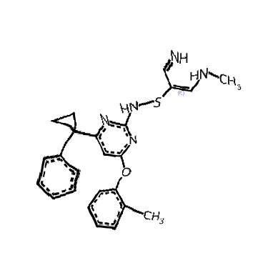 CN/C=C(\C=N)SNc1nc(Oc2ccccc2C)cc(C2(c3ccccc3)CC2)n1